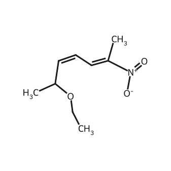 CCOC(C)/C=C\C=C(/C)[N+](=O)[O-]